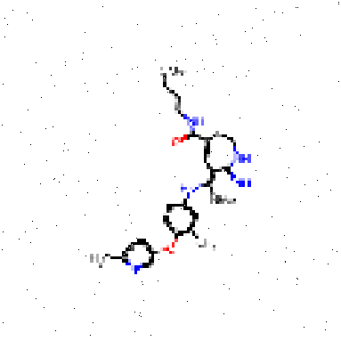 CN/C(Nc1ccc(Oc2ccc(C)nc2)c(C)c1)=C1/C=C(C(=O)NCCCOC)CCNC1=N